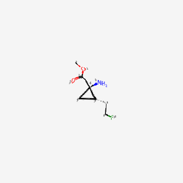 COC(=O)[C@@]1(N)C[C@H]1CCF